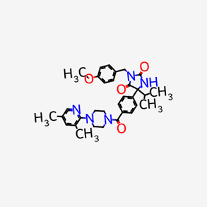 COc1ccc(CN2C(=O)NC(c3ccc(C(=O)N4CCN(c5ncc(C)cc5C)CC4)cc3)(C(C)C)C2=O)cc1